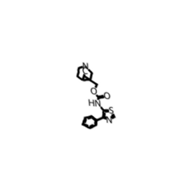 O=C(Nc1scnc1-c1ccccc1)OCC1CN2CCC1CC2